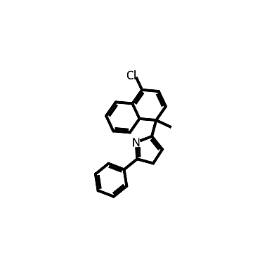 CC1(C2=CCC(c3ccccc3)=N2)C=CC(Cl)=C2C=CC=CC21